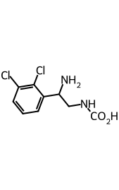 NC(CNC(=O)O)c1cccc(Cl)c1Cl